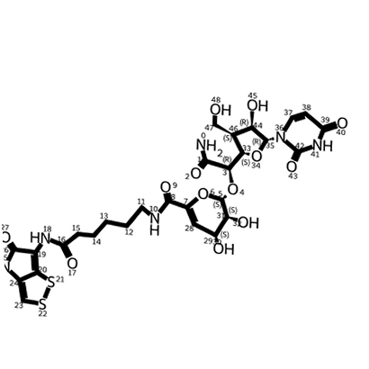 NC(=O)[C@H](O[C@H]1OC(C(=O)NCCCCCC(=O)Nc2c3sscc-3[nH]c2=O)=C[C@H](O)[C@@H]1O)[C@H]1O[C@@H](n2ccc(=O)[nH]c2=O)[C@H](O)[C@@H]1CO